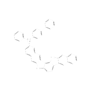 c1ccc(-c2ccc(N(c3ccccc3)c3ccc4cc5oc6ccc7c8cc9ccccc9cc8oc7c6c5cc4c3)cc2)cc1